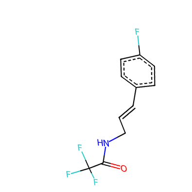 O=C(NC/C=C/c1ccc(F)cc1)C(F)(F)F